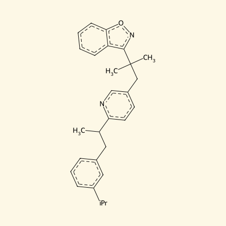 CC(C)c1cccc(CC(C)c2ccc(CC(C)(C)c3noc4ccccc34)cn2)c1